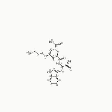 CCCCOC(=O)NC(CCC(=O)O)C(=O)NC(Cc1c[nH]c2ccccc12)C(=O)O